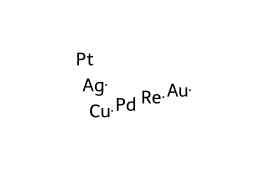 [Ag].[Au].[Cu].[Pd].[Pt].[Re]